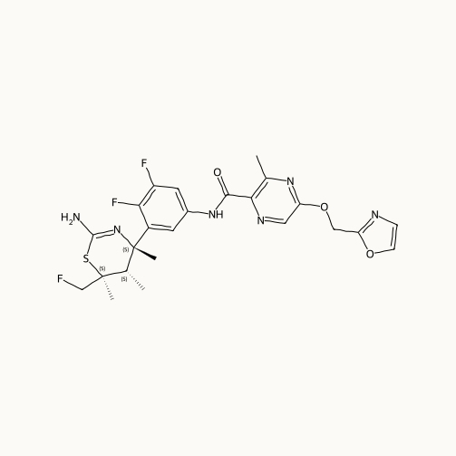 Cc1nc(OCc2ncco2)cnc1C(=O)Nc1cc(F)c(F)c([C@@]2(C)N=C(N)S[C@](C)(CF)[C@H]2C)c1